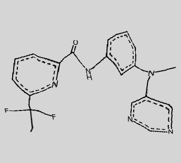 CN(c1cncnc1)c1cccc(NC(=O)c2cccc(C(C)(F)F)n2)c1